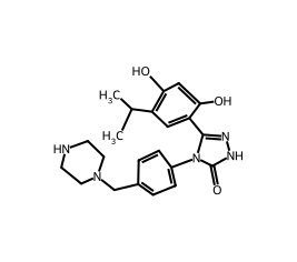 CC(C)c1cc(-c2n[nH]c(=O)n2-c2ccc(CN3CCNCC3)cc2)c(O)cc1O